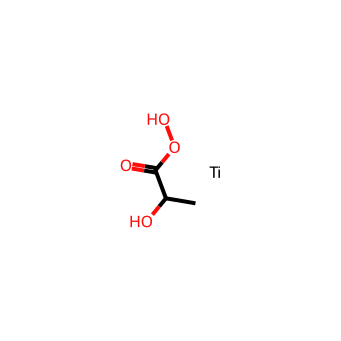 CC(O)C(=O)OO.[Ti]